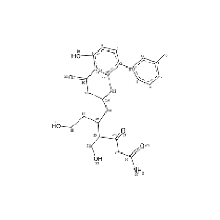 Cc1cccc(-c2ccc(O)c3c2CC(CC(CCO)C(CO)C(=O)CC(N)=O)CC3=O)c1